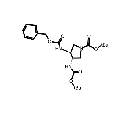 CC(C)(C)OC(=O)N[C@H]1CN(C(=O)OC(C)(C)C)C[C@@H]1NC(=O)OCc1ccccc1